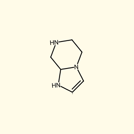 [C]1=CN2CCNCC2N1